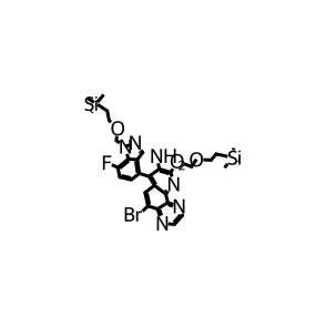 C[Si](C)(C)CCOCOc1nc2c(cc(Br)c3nccnc32)c(-c2ccc(F)c3c2cnn3COCC[Si](C)(C)C)c1N